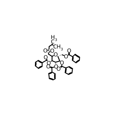 CC(C)CS(=O)(=O)CC1O[C@H](COC(=O)c2ccccc2)[C@@H](OC(=O)c2ccccc2)[C@H](OC(=O)c2ccccc2)[C@H]1OC(=O)c1ccccc1